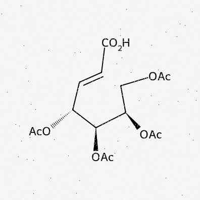 CC(=O)OC[C@@H](OC(C)=O)[C@@H](OC(C)=O)[C@@H](/C=C/C(=O)O)OC(C)=O